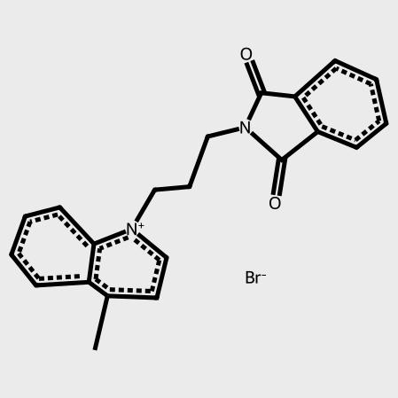 Cc1cc[n+](CCCN2C(=O)c3ccccc3C2=O)c2ccccc12.[Br-]